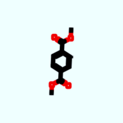 COC(=O)c1[c]cc(C(=O)OC)cc1